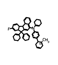 C[C@H]1CC=CCC1c1ccc(N(C2=CCCCC2)C2=C3C=CC=CC3C3C(=C2)C(C2=CCCC=C2)(C2=CCCCC2)C2C=C(F)C=CC32)cc1